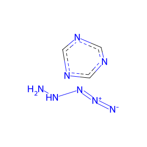 [N-]=[N+]=NNN.c1ncncn1